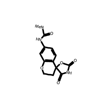 CNC(=O)Nc1ccc2c(c1)OCCC21OC(=O)NC1=O